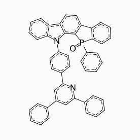 O=P1(c2ccccc2)c2ccccc2-c2ccc3c4ccccc4n(-c4ccc(-c5cc(-c6ccccc6)cc(-c6ccccc6)n5)cc4)c3c21